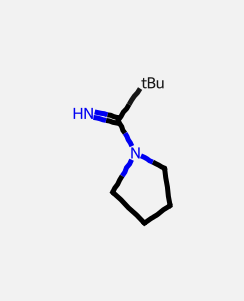 CC(C)(C)C(=N)N1CCCC1